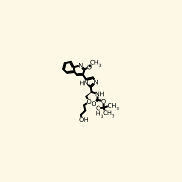 COc1nc2ccccc2cc1-c1cnc([C@H](COCCCO)NC(=O)OC(C)(C)C)[nH]1